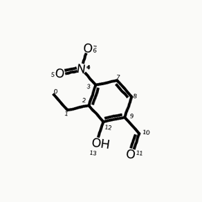 CCc1c([N+](=O)[O-])ccc(C=O)c1O